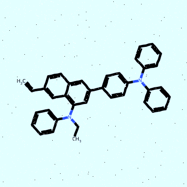 C=Cc1ccc2cc(-c3ccc(N(c4ccccc4)c4ccccc4)cc3)cc(N(CC)c3ccccc3)c2c1